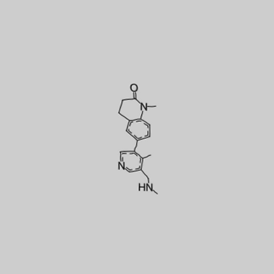 CNCc1cncc(-c2ccc3c(c2)CCC(=O)N3C)c1C